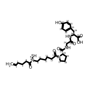 C=CCCCC(=O)N(S)CCCCCC(=O)N1CCC[C@H]1C(=O)NCC(=O)N[C@@H](Cc1ccc(O)cc1)C(=O)O